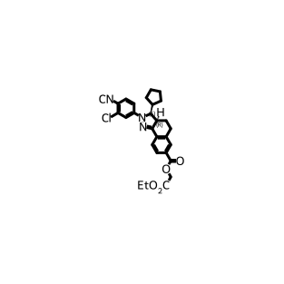 [C-]#[N+]c1ccc(N2N=C3c4ccc(C(=O)OCC(=O)OCC)cc4CC[C@@H]3[C@@H]2C2CCCC2)cc1Cl